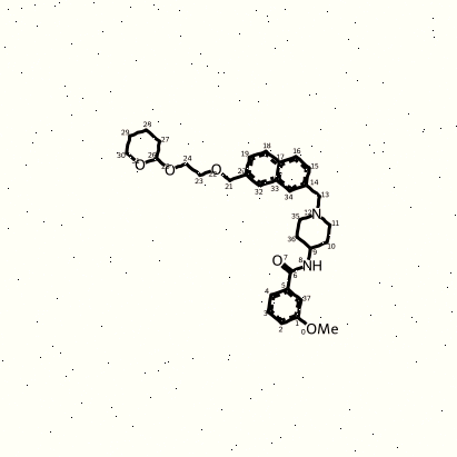 COc1cccc(C(=O)NC2CCN(Cc3ccc4ccc(COCCOC5CCCCO5)cc4c3)CC2)c1